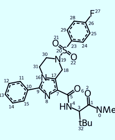 CNC(=O)C(NC(=O)c1nc(-c2ccccc2)n2c1CN(S(=O)(=O)c1ccc(F)cc1)CC2)C(C)(C)C